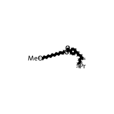 COCCCCCCCCCCCCOC(=O)C1CCC(CCCC(C)CCCC(C)C)CC1